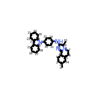 Cc1ccc2c(ccn3c(C)c(Nc4ccc(-n5c6ccccc6c6ccccc65)cc4)nc23)c1